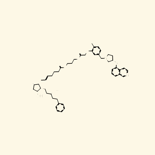 Cc1ccc(CN2CC[C@@H](Nc3cccc4cnccc34)C2)cc1OCC(=O)OCCCOC(=O)CCCC=CC[C@@H]1[C@@H](CC[C@@H](O)CCc2ccccc2)[C@H](O)C[C@H]1O